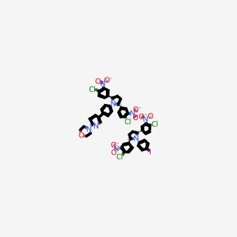 O=[N+]([O-])c1cc([C@H]2CC[C@H](c3ccc(Cl)c([N+](=O)[O-])c3)N2c2ccc(-c3ccc(N4CCOCC4)nc3)cc2)ccc1Cl.O=[N+]([O-])c1cc([C@H]2CC[C@H](c3ccc(Cl)c([N+](=O)[O-])c3)N2c2ccc(I)cc2)ccc1Cl